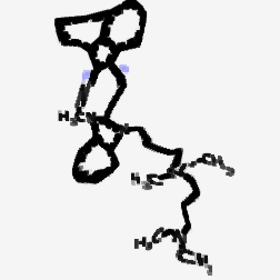 C/N=c1\c(=C/c2nc3ccccc3n2CCC[N+](C)(C)CCCN(C)C)c2cccc3cccc1c32